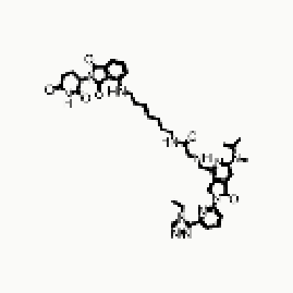 CCn1cnnc1-c1cccc(N2Cc3c(cc(N(C)C(C)C)nc3CNCC(=O)NCCCCCCCNc3cccc4c3C(=O)N(C3CCC(=O)NC3=O)C4=O)C2=O)n1